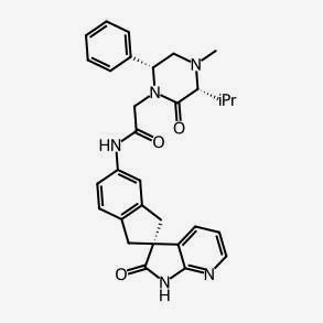 CC(C)[C@@H]1C(=O)N(CC(=O)Nc2ccc3c(c2)C[C@@]2(C3)C(=O)Nc3ncccc32)[C@H](c2ccccc2)CN1C